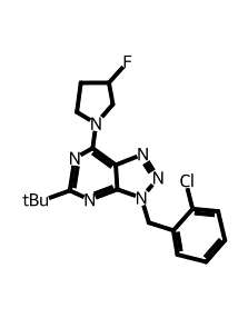 CC(C)(C)c1nc(N2CCC(F)C2)c2nnn(Cc3ccccc3Cl)c2n1